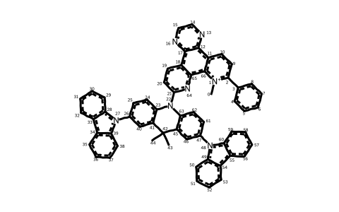 C[n+]1c(-c2ccccc2)ccc2c3nccnc3c3ccc(N4c5ccc(-n6c7ccccc7c7ccccc76)cc5C(C)(C)c5cc(-n6c7ccccc7c7ccccc76)ccc54)nc3c21